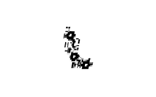 COc1ccc(C(=O)NC(=S)Nc2ccc(S(=O)(=O)Nc3ccc(C)c(C)c3)cc2)cc1I